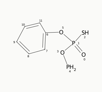 O=P(S)(OP)Oc1ccccc1